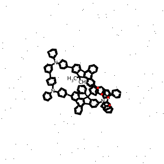 CC1(C)c2cc(-c3ccc(N(c4ccccc4)c4cccc(-c5ccc(N(c6ccccc6)c6ccc(-c7ccc8c9c(c%10ccccc%10c8c7)-c7ccc(N(c8ccccc8)c8ccccc8)cc7C9(c7ccccc7)c7ccccc7)cc6)cc5)c4)cc3)ccc2-c2c1c1ccc(-c3ccc(N(c4ccccc4)c4ccccc4)cc3)cc1c1ccccc21